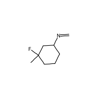 C=NC1CCCC(C)(F)C1